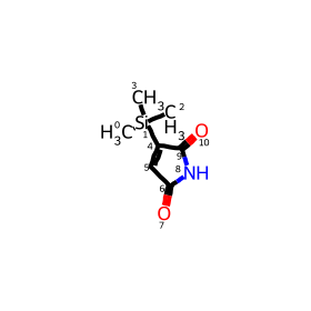 C[Si](C)(C)C1=CC(=O)NC1=O